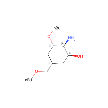 CCCCOC[C@@H]1C[C@H](OCCCC)[C@@H](N)[C@@H](O)C1